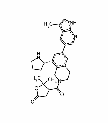 Cc1c[nH]c2ncc(-c3cc4c(c([C@@H]5CCCN5)c3)CN(C(=O)C3CC(=O)OC3(C)C)CC4)cc12